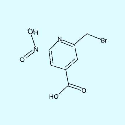 O=C(O)c1ccnc(CBr)c1.O=NO